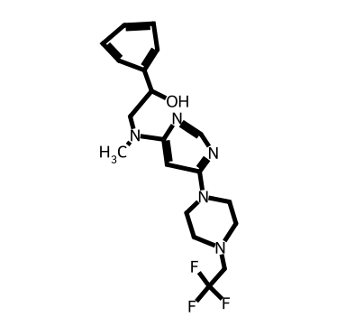 CN(CC(O)c1ccccc1)c1cc(N2CCN(CC(F)(F)F)CC2)ncn1